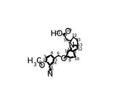 COc1ccc(COc2ccc3cc4n(c3c2)C(CC(=O)O)CC4)cc1C#N